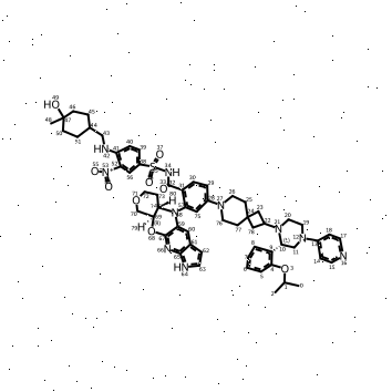 CC(C)Oc1ccccc1[C@H]1CN(c2ccncc2)CCN1C1CC2(CCN(c3ccc(C(=O)NS(=O)(=O)c4ccc(NCC5CCC(C)(O)CC5)c([N+](=O)[O-])c4)c(N4c5cc6cc[nH]c6nc5O[C@H]5COCC[C@@H]54)c3)CC2)C1